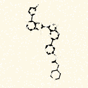 Cc1ccc(-c2nccc3[nH]c(-c4n[nH]c5ccc(-c6cncc(NC(=O)CC7CCNCC7)c6)nc45)nc23)s1